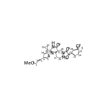 COCC#Cc1csc(C2(c3nc4c(c(=O)[nH]3)CN(C(=O)C(O)c3cccc(C(F)(F)F)c3)CCC4)CC2)c1